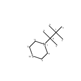 CC(C)(C)C(C)(C)N1CCSCC1